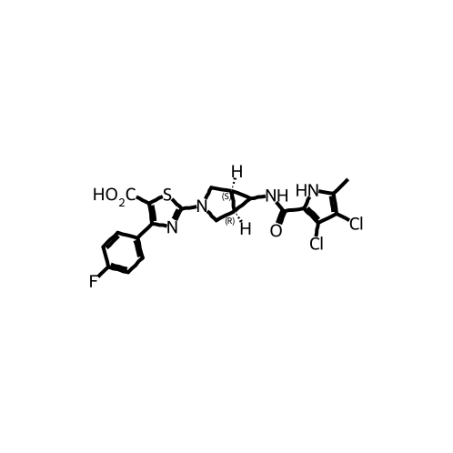 Cc1[nH]c(C(=O)NC2[C@H]3CN(c4nc(-c5ccc(F)cc5)c(C(=O)O)s4)C[C@@H]23)c(Cl)c1Cl